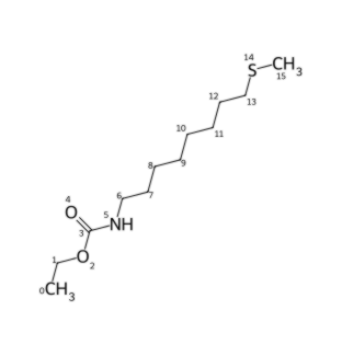 CCOC(=O)NCCCCCCCCSC